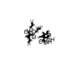 C=CC1(C)C(C)C1(C(=O)O)C(=O)O.C=CCOC(=O)C1(C(=O)OCC=C)CC1C=C